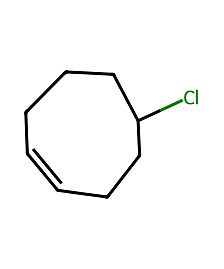 ClC1CCC=CCCC1